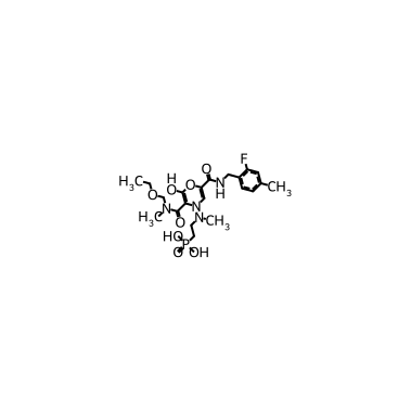 CCOCN(C)C(=O)C1=C(O)OC(C(=O)NCc2ccc(C)cc2F)=CN1N(C)CCP(=O)(O)O